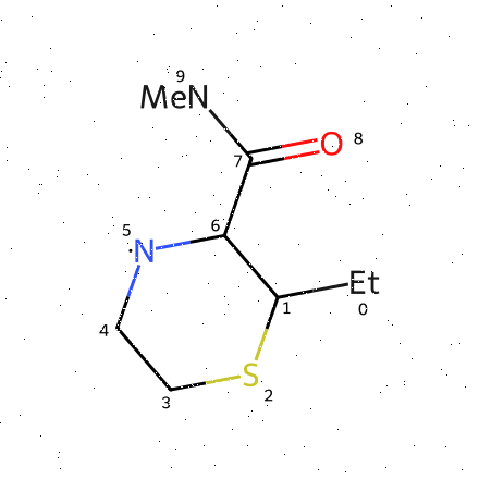 CCC1SCC[N]C1C(=O)NC